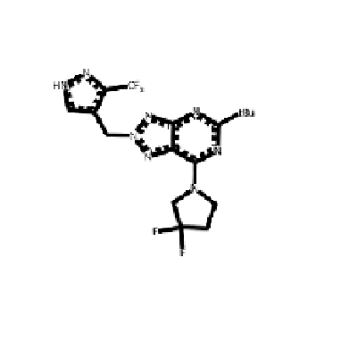 CC(C)(C)c1nc(N2CCC(F)(F)C2)c2nn(Cc3c[nH]nc3C(F)(F)F)nc2n1